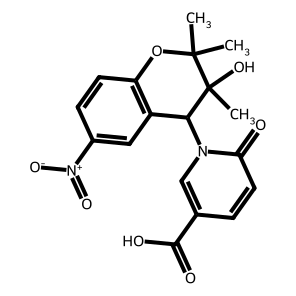 CC1(C)Oc2ccc([N+](=O)[O-])cc2C(n2cc(C(=O)O)ccc2=O)C1(C)O